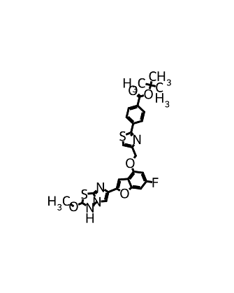 COC1Nn2cc(-c3cc4c(OCc5csc(-c6ccc(C(=O)OC(C)(C)C)cc6)n5)cc(F)cc4o3)nc2S1